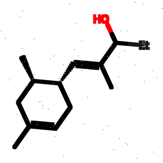 CCC(O)/C(C)=C/[C@@H]1CC=C(C)C[C@H]1C